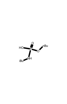 CCCCOP(=O)(O)NC(C)CC